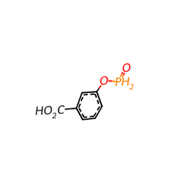 O=[PH2]Oc1cccc(C(=O)O)c1